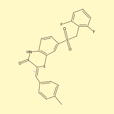 Cc1ccc(/C=C2\Sc3cc(S(=O)(=O)Cc4c(F)cccc4F)ccc3NC2=O)cc1